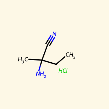 CCC(C)(N)C#N.Cl